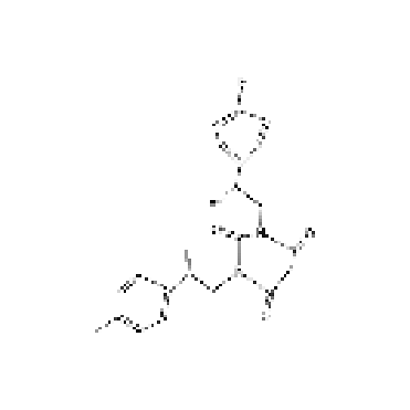 Cc1ccc([C@H](F)CN2C(=O)CC(=O)N(C[C@H](F)c3ccc(F)cc3)C2=O)cc1